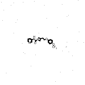 O=C(Nc1cccnc1)N1CC(CCOc2ccc(OC(F)(F)F)cc2)C1